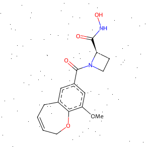 COc1cc(C(=O)N2CC[C@@H]2C(=O)NO)cc2c1OCC=CC2